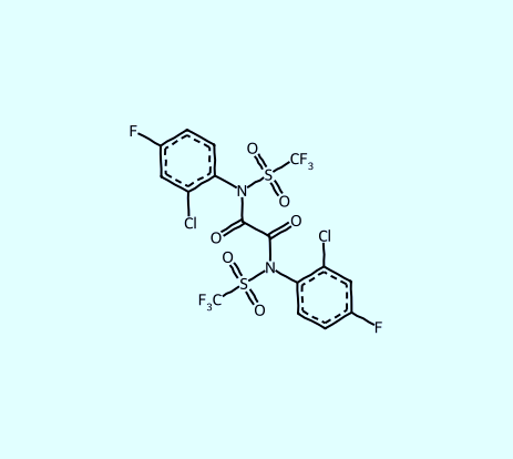 O=C(C(=O)N(c1ccc(F)cc1Cl)S(=O)(=O)C(F)(F)F)N(c1ccc(F)cc1Cl)S(=O)(=O)C(F)(F)F